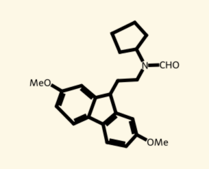 COc1ccc2c(c1)C(CCN(C=O)C1CCCC1)c1cc(OC)ccc1-2